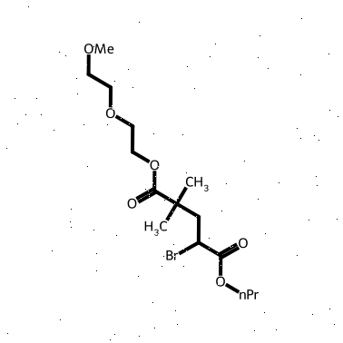 CCCOC(=O)C(Br)CC(C)(C)C(=O)OCCOCCOC